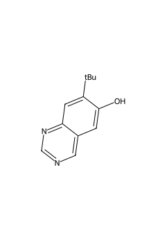 CC(C)(C)c1cc2ncncc2cc1O